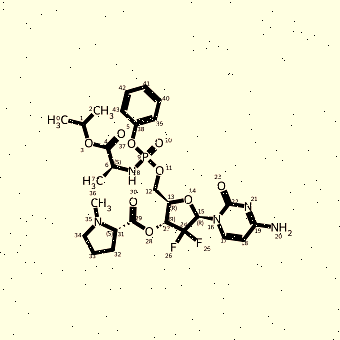 CC(C)OC(=O)[C@H](C)NP(=O)(OC[C@H]1O[C@@H](n2ccc(N)nc2=O)C(F)(F)[C@@H]1OC(=O)[C@@H]1CCCN1C)Oc1ccccc1